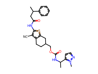 CC(CC(=O)Nc1sc2c(c1C#N)CCC(COC(=O)NC(C)c1ccnn1C)C2)c1ccccc1